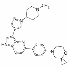 CN1CCC(n2cc(-c3c[nH]c4ncc(-c5ccc(N6CCOC7(CC7)C6)cc5)nc34)cn2)CC1